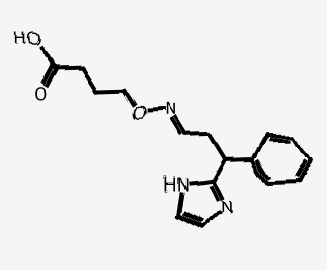 O=C(O)CCCON=CCC(c1ccccc1)c1ncc[nH]1